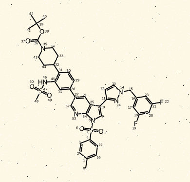 Cc1ccc(S(=O)(=O)n2cc(-c3ccn(Cc4cc(F)cc(F)c4)n3)c3cc(-c4ccc(C5CCN(C(=O)OC(C)(C)C)CC5)c(NS(C)(=O)=O)c4)cnc32)cc1